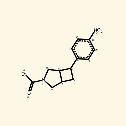 CCC(=O)N1CC2CC(c3ccc([N+](=O)[O-])cc3)C2C1